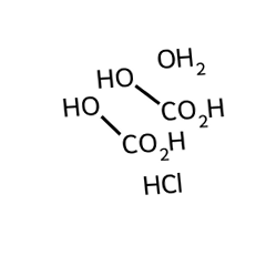 Cl.O.O=C(O)O.O=C(O)O